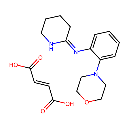 O=C(O)C=CC(=O)O.c1ccc(N2CCOCC2)c(N=C2CCCCN2)c1